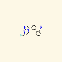 N#Cc1ccccc1-c1cccc(-c2cnc3nc(CF)ccn23)c1